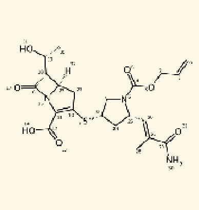 C=CCOC(=O)N1C[C@@H](SC2=C(C(=O)O)N3C(=O)[C@H]([C@@H](C)O)[C@H]3C2)C[C@H]1/C=C(\C)C(N)=O